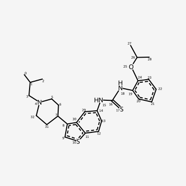 CC(C)CN1CCC(c2csc3ccc(NC(=S)Nc4ccccc4OC(C)C)cc23)CC1